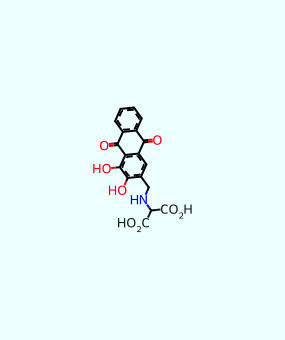 O=C1c2ccccc2C(=O)c2c1cc(CNC(C(=O)O)C(=O)O)c(O)c2O